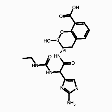 CCNC(=O)NC(C(=O)N[C@H]1Cc2cccc(C(=O)O)c2OB1O)c1csc(N)n1